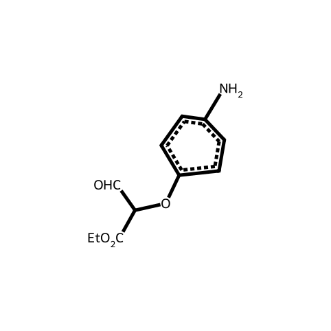 CCOC(=O)C(C=O)Oc1ccc(N)cc1